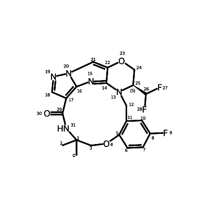 CC1(C)COc2ccc(F)cc2CN2c3nc4c(cnn4cc3OC[C@H]2C(F)F)C(=O)N1